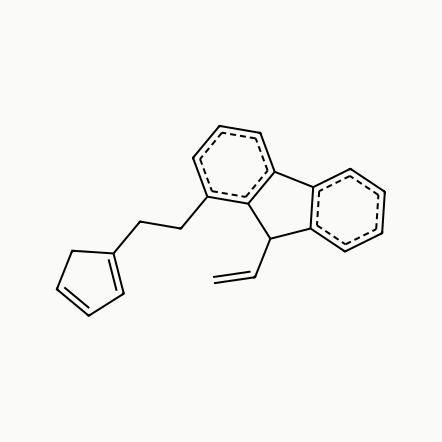 C=CC1c2ccccc2-c2cccc(CCC3=CC=CC3)c21